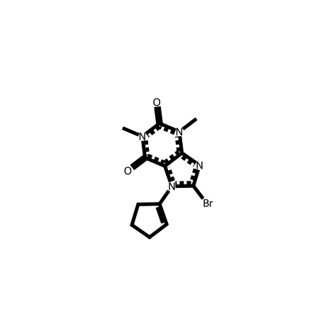 Cn1c(=O)c2c(nc(Br)n2C2=CCCC2)n(C)c1=O